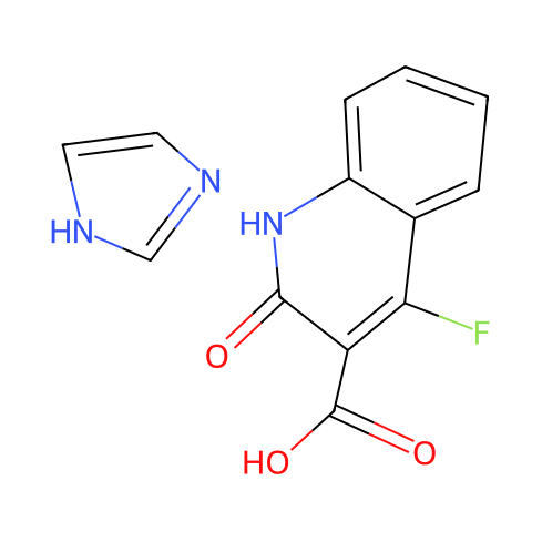 O=C(O)c1c(F)c2ccccc2[nH]c1=O.c1c[nH]cn1